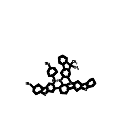 CC(C)(C)c1ccc(Nc2cc3c(cc2-c2ccc4c5cc6oc7ccccc7c6cc5n5c4c2Bc2cc4c(cc2-5)C(C)(C)c2ccccc2-4)sc2ccc(C(C)(C)C)cc23)cc1